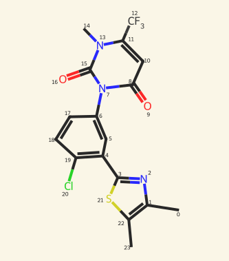 Cc1nc(-c2cc(-n3c(=O)cc(C(F)(F)F)n(C)c3=O)ccc2Cl)sc1C